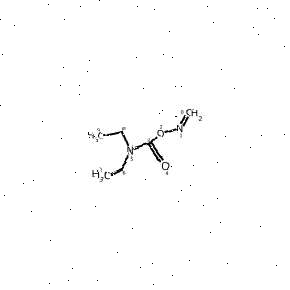 C=NOC(=O)N(CC)CC